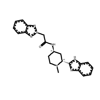 CN1CC[C@@H](NC(=O)Cn2nc3ccccc3n2)C[C@@H]1c1nc2ccccc2[nH]1